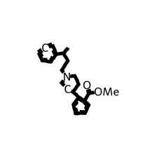 COC(=O)c1ccccc1C1CCN(CCC(C)c2ccccc2)CC1